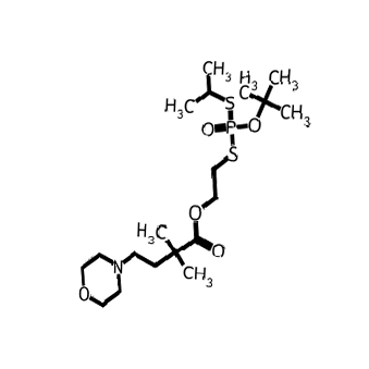 CC(C)SP(=O)(OC(C)(C)C)SCCOC(=O)C(C)(C)CCN1CCOCC1